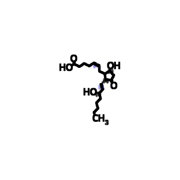 CCCCC[C@H](O)/C=C/[C@H]1C(=O)C[C@H](O)C1C/C=C\CCCC(=O)O